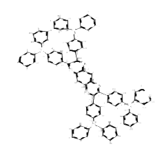 c1ccc(N(c2ccccc2)c2ccc(-c3nc4cc5nc(-c6ccc(N(c7ccccc7)c7ccccc7)cc6)c(-c6ccc(N(c7ccccc7)c7ccccc7)cc6)nc5cc4nc3-c3ccc(N(c4ccccc4)c4ccccc4)cc3)cc2)cc1